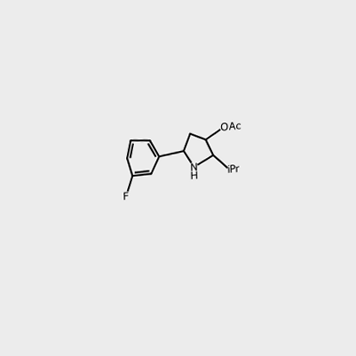 CC(=O)OC1CC(c2cccc(F)c2)NC1C(C)C